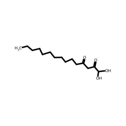 CCCCCCCCCCCC(=O)CC(=O)C(O)O